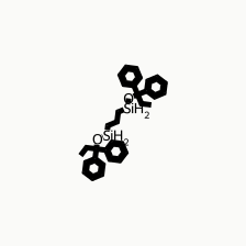 CCC(O[SiH2]CCC[SiH2]OC(CC)(c1ccccc1)c1ccccc1)(c1ccccc1)c1ccccc1